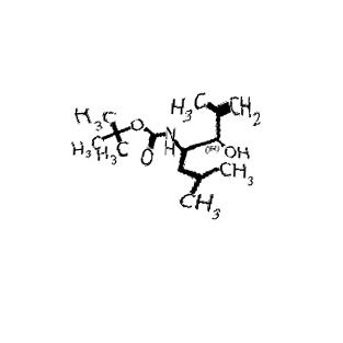 C=C(C)[C@@H](O)C(CC(C)C)NC(=O)OC(C)(C)C